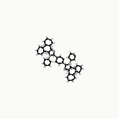 c1ccc(-n2c(-c3ccc(-c4nc5c6ccccc6c6ccccc6c5n4-c4ccccc4)cc3)nc3c4ccccc4c4ccccc4c32)cc1